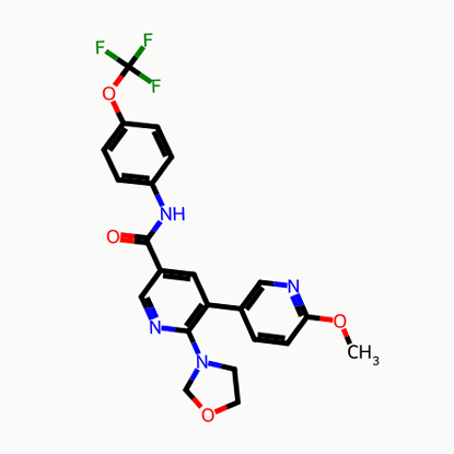 COc1ccc(-c2cc(C(=O)Nc3ccc(OC(F)(F)F)cc3)cnc2N2CCOC2)cn1